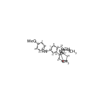 COc1ccc(Nc2ccc3c(c2)[C@@]24CCCC[C@H]2[C@@H](C3)N(C)CC4C)cc1